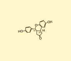 O=C1CC2[C@H](C1)c1cc(O)ccc1O[C@@H]2c1ccc(O)cc1